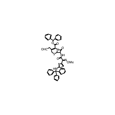 CON=C(C(=O)NC1C(=O)N2C(C(=O)OC(c3ccccc3)c3ccccc3)=C(CC=O)CSC12)c1csc(NC(c2ccccc2)(c2ccccc2)c2ccccc2)n1